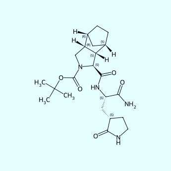 CC(C)(C)OC(=O)N1C[C@@H]2[C@@H]3CC[C@@H](C3)[C@@H]2[C@H]1C(=O)N[C@@H](C[C@@H]1CCNC1=O)C(N)=O